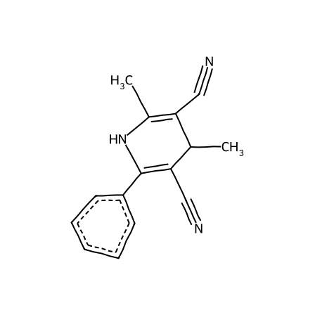 CC1=C(C#N)C(C)C(C#N)=C(c2ccccc2)N1